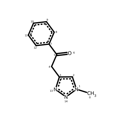 Cn1cc(CC(=O)c2ccccc2)nn1